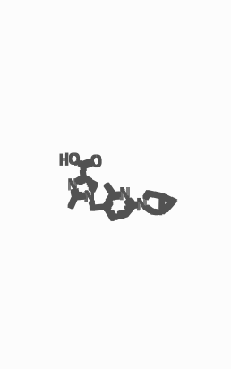 Cc1nc(N2CC3CC3C2)ccc1Cn1cc(C(=O)O)nc1C